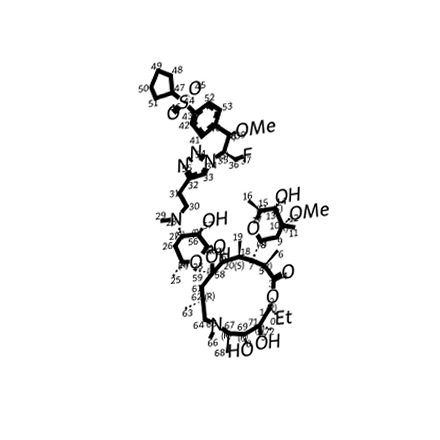 CC[C@H]1OC(=O)[C@H](C)C([C@H]2C[C@@](C)(OC)[C@@H](O)[C@H](C)O2)[C@H](C)[C@@H](O[C@@H]2O[C@H](C)C[C@H](N(C)CCc3cn([C@H](CF)[C@H](OC)c4ccc(S(=O)(=O)C5CCCC5)cc4)nn3)[C@H]2O)[C@](C)(O)C[C@@H](C)CN(C)[C@H](C)[C@@H](O)[C@]1(C)O